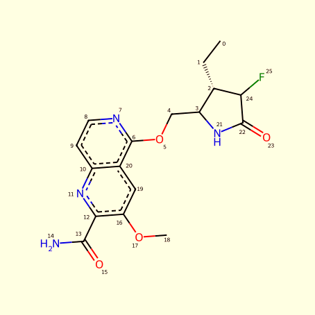 CC[C@H]1C(COc2nccc3nc(C(N)=O)c(OC)cc23)NC(=O)C1F